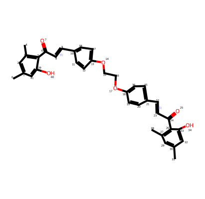 Cc1cc(C)c(C(=O)/C=C/c2ccc(OCCOc3ccc(/C=C/C(=O)c4c(C)cc(C)cc4O)cc3)cc2)c(O)c1